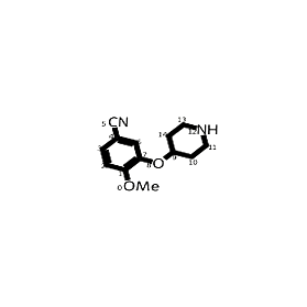 COc1ccc(C#N)cc1OC1CCNCC1